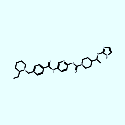 CCC1CCCCN1Cc1ccc(C(=O)Nc2ccc(OC(=O)N3CCC(C(C)Sc4ncc[nH]4)CC3)nc2)cc1